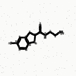 NCCNC(=O)C1Cc2cc(F)ccc2S1